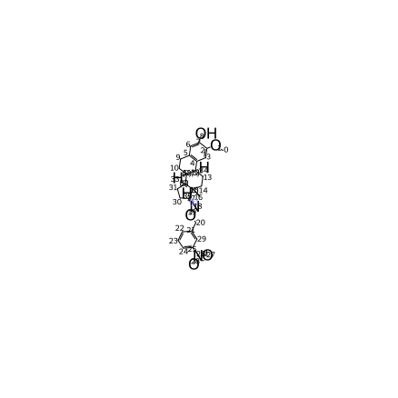 COc1cc2c(cc1O)CC[C@@H]1[C@@H]2CC[C@]2(C)/C(=N/OCc3cccc([N+](=O)[O-])c3)CC[C@@H]12